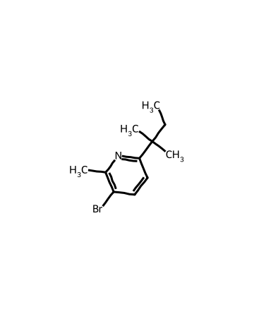 CCC(C)(C)c1ccc(Br)c(C)n1